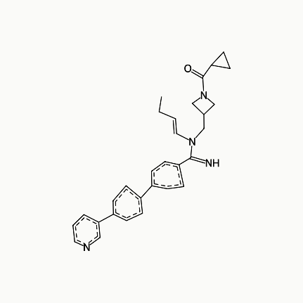 CC/C=C/N(CC1CN(C(=O)C2CC2)C1)C(=N)c1ccc(-c2ccc(-c3cccnc3)cc2)cc1